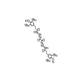 CC(C)(C)c1cc(CCC(=O)NCCNC(=O)C(=O)NCCNC(=O)CCc2cc(C(C)(C)C)c(O)c(C(C)(C)C)c2)cc(C(C)(C)C)c1O